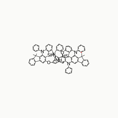 CC1(C)c2ccccc2-c2cc3c4c(c21)N(c1ccccc1)c1cccc(c1[SiH2]4)N(c1ccccc1)c1c(N)c(cc2cc4c5c(c12)Oc1cccc2c1[SiH]5c1c(cc5c(c1N2c1ccccc1)C(C)(C)c1ccccc1-5)N4c1ccccc1)O3